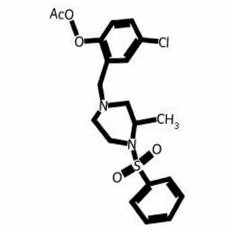 CC(=O)OOc1ccc(Cl)cc1CN1CCN(S(=O)(=O)c2ccccc2)C(C)C1